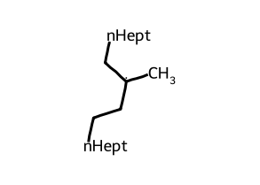 CCCCCCCCC[C](C)CCCCCCCC